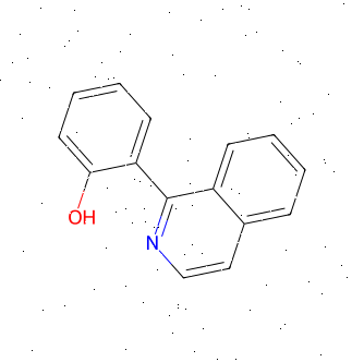 Oc1ccccc1-c1nccc2ccccc12